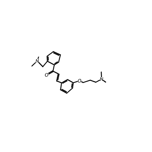 CN(C)CCCOc1cccc(C=CC(=O)c2ccccc2CN(C)C)c1